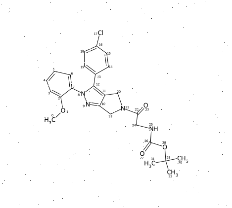 COc1ccccc1-n1nc2c(c1-c1ccc(Cl)cc1)CN(C(=O)CNC(=O)OC(C)(C)C)C2